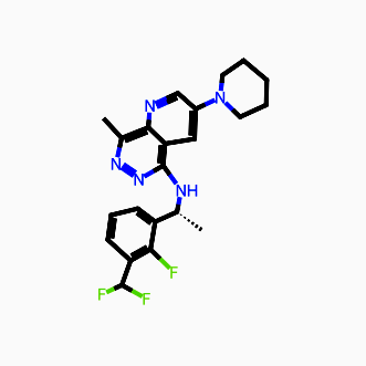 Cc1nnc(N[C@H](C)c2cccc(C(F)F)c2F)c2cc(N3CCCCC3)cnc12